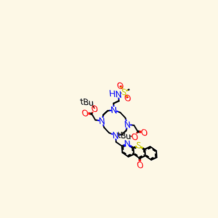 CC(C)(C)OC(=O)CN1CCN(CCNS(C)(=O)=O)CCN(CC(=O)OC(C)(C)C)CCN(Cc2ccc3c(=O)c4ccccc4sc3n2)CC1